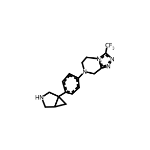 FC(F)(F)c1nnc2n1CCN(c1ccc(C34CNCC3C4)cc1)C2